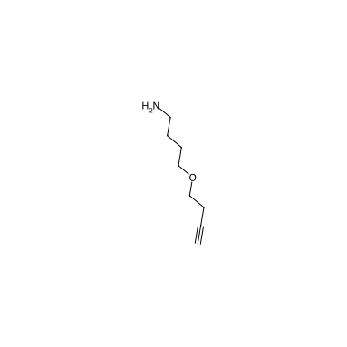 C#CCCOCCCCN